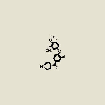 COc1ccc(Oc2ccc(C(=O)N3CCNCC3)cc2I)cc1OC